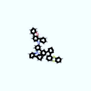 c1cc(-c2ccccc2-c2cccc3c2Sc2ccccc2S3)cc(-c2cc(-n3c4ccccc4c4c5oc6ccccc6c5ccc43)ccc2-n2c3ccccc3c3ccccc32)c1